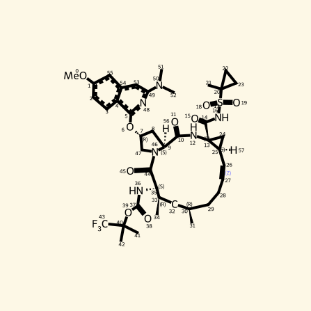 COc1ccc2c(O[C@@H]3C[C@H]4C(=O)N[C@]5(C(=O)NS(=O)(=O)C6(C)CC6)C[C@H]5/C=C\CC[C@@H](C)C[C@@H](C)[C@H](NC(=O)OC(C)(C)C(F)(F)F)C(=O)N4C3)nc(N(C)C)cc2c1